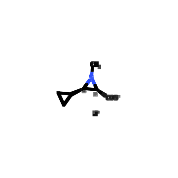 CN1[C@H](C2CC2)[C@@H]1C(=O)[O-].[Li+]